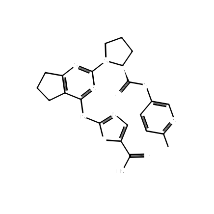 NC(=O)c1cnc(Nc2nc(N3CCC[C@H]3C(=O)Nc3ccc(F)nc3)nc3c2CCC3)s1